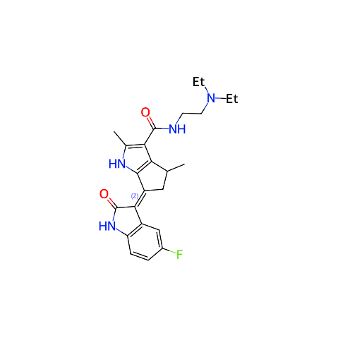 CCN(CC)CCNC(=O)c1c(C)[nH]c2c1C(C)C/C2=C1/C(=O)Nc2ccc(F)cc21